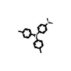 Cc1ccc(N(c2ccc(C)cc2)c2ccc(N(C)C)cc2)cc1